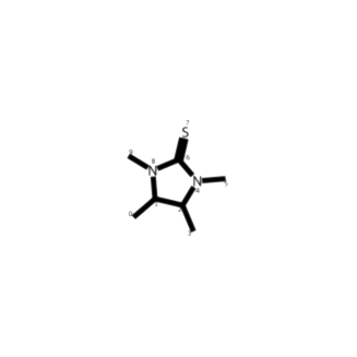 CC1C(C)N(C)C(=S)N1C